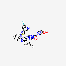 CCc1nc2c(C)cc(N3CCN(CC(=O)N4CC[C@@H](O)C4)CC3)cn2c1N(C)C1=NC(c2ccc(F)cc2)=C(C#N)CS1